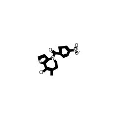 CC1=C(Cl)c2sccc2N(C(=O)c2ccc([N+](=O)[O-])cc2)CC1